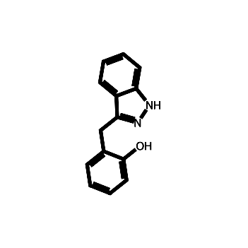 Oc1ccccc1Cc1n[nH]c2ccccc12